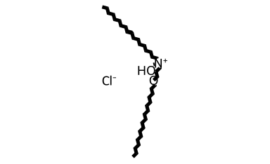 CCCCCCCCC=CCCCCCCCC[N+](C)(C)CC(O)COCCCCCCCCCCCCCCCCCC.[Cl-]